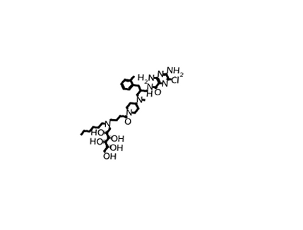 CCCCCCN(CCCC(=O)N1CCC(N(C)CC(CNC(=O)c2nc(Cl)c(N)nc2N)Cc2ccccc2C)CC1)C[C@H](O)[C@@H](O)[C@H](O)[C@H](O)CO